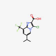 CC(C)c1cc(C(F)(F)F)c2nc(C(=O)O)c(Cl)n2c1